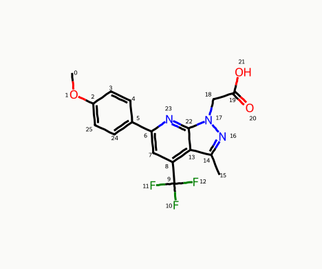 COc1ccc(-c2cc(C(F)(F)F)c3c(C)nn(CC(=O)O)c3n2)cc1